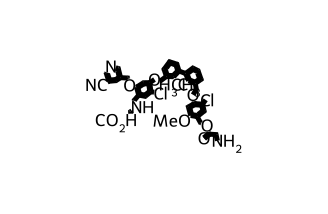 COc1cc(OCc2cccc(-c3cccc(COc4cc(OCc5cncc(C#N)c5)c(CNCC(=O)O)cc4Cl)c3C)c2C)c(Cl)cc1COC(=O)CN